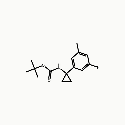 Cc1cc(F)cc(C2(NC(=O)OC(C)(C)C)CC2)c1